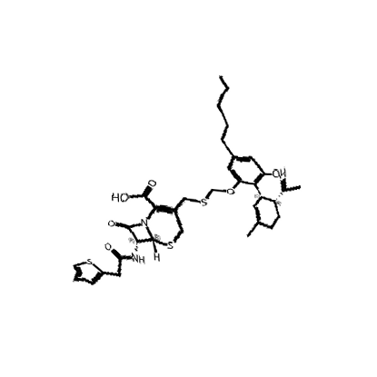 C=C(C)[C@@H]1CCC(C)=C[C@H]1c1c(O)cc(CCCCC)cc1OCSCC1=C(C(=O)O)N2C(=O)[C@@H](NC(=O)Cc3cccs3)[C@H]2SC1